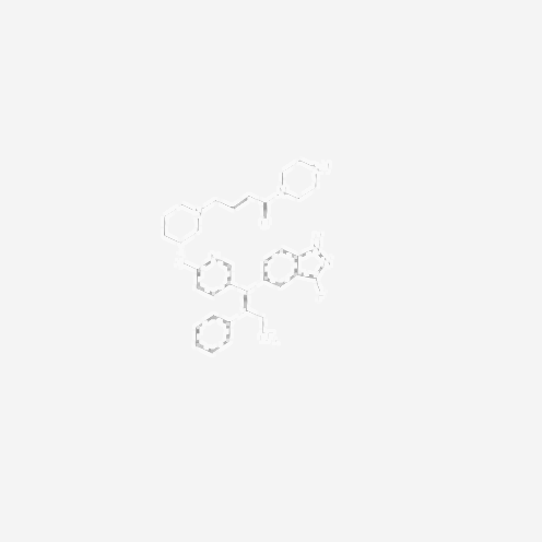 O=C(/C=C/CN1CCC[C@@H](Oc2ccc(/C(=C(/CC(F)(F)F)c3ccccc3)c3ccc4[nH]nc(F)c4c3)cn2)C1)N1CCNCC1